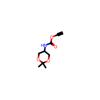 C#COC(=O)NC1COC(C)(C)OC1